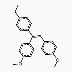 CCc1ccc(/C(=C/c2ccc(OC)cc2)c2ccc(OC)cc2)cc1